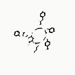 CN1C(=O)[C@H](CCCCN)NC(=O)[C@@H](Cc2ccc(C(N)=O)cc2)NC(=O)[C@H](Cc2ccc(O)cc2)NC(=O)[C@H](NC(=O)[C@@H](N)Cc2ccc(Cl)cc2)CSSC2[C@@H](C(=O)N[C@H](Cc3ccc(O)cc3)C(N)=O)NC(=O)[C@@H]1[C@@H]2O